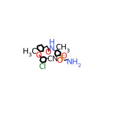 Cc1cc(S(=O)(=O)CCN)ccc1NC(=O)Cc1ccc(C)c(Oc2cc(Cl)cc(C#N)c2)c1